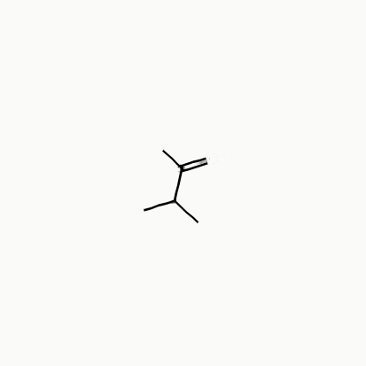 CC(C)C(=O)F